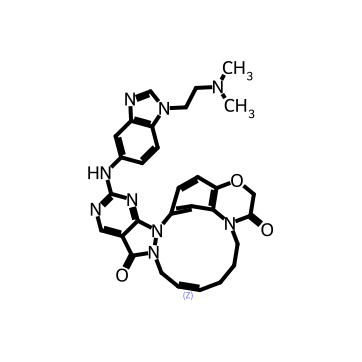 CN(C)CCn1cnc2cc(Nc3ncc4c(=O)n5n(c4n3)-c3ccc4c(c3)N(CCC/C=C\C5)C(=O)CO4)ccc21